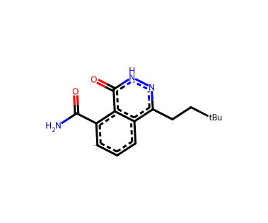 CC(C)(C)CCc1n[nH]c(=O)c2c(C(N)=O)[c]ccc12